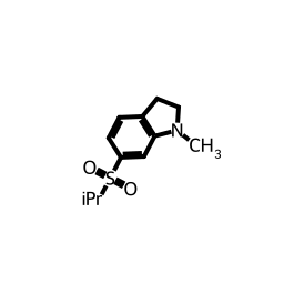 CC(C)S(=O)(=O)c1ccc2c(c1)N(C)CC2